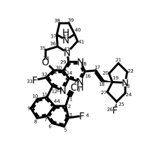 C#Cc1c(F)ccc2cccc(-c3nc4nc(/C=C/[C@@]56CCCN5C[C@H](F)C6)nc5c4c(c3F)OCC3C4CCC(CN53)N4)c12